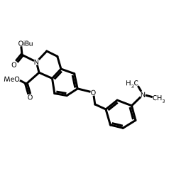 COC(=O)C1c2ccc(OCc3cccc(N(C)C)c3)cc2CCN1C(=O)OCC(C)C